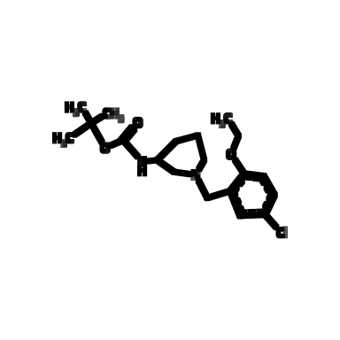 CCOc1ccc(Cl)cc1CN1CCCC(NC(=O)OC(C)(C)C)C1